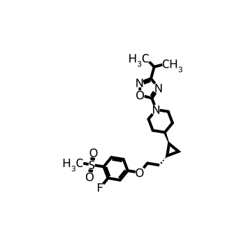 CC(C)c1noc(N2CCC([C@H]3C[C@@H]3CCOc3ccc(S(C)(=O)=O)c(F)c3)CC2)n1